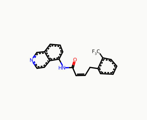 O=C(/C=C\Cc1ccccc1C(F)(F)F)Nc1cccc2cnccc12